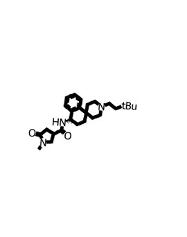 CN1CC(C(=O)N[C@@H]2CCC3(CCN(CCC(C)(C)C)CC3)c3ccccc32)CC1=O